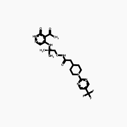 CC(=O)c1c(N[C@@](C)([SiH3])CONC(=O)CC2CCN(c3ncc(C(F)(F)F)cn3)CC2)cn[nH]c1=O